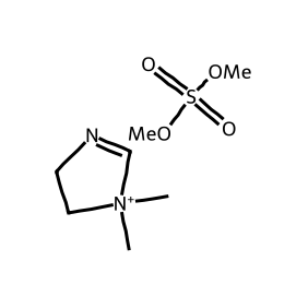 COS(=O)(=O)OC.C[N+]1(C)C=NCC1